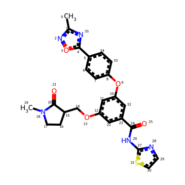 Cc1noc(-c2ccc(Oc3cc(OCC4CCN(C)C4=O)cc(C(=O)Nc4nccs4)c3)cc2)n1